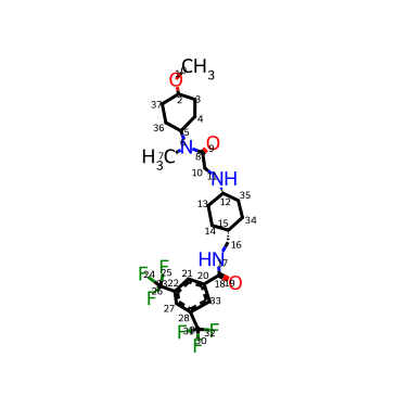 COC1CCC(N(C)C(=O)CN[C@H]2CC[C@@H](CNC(=O)c3cc(C(F)(F)F)cc(C(F)(F)F)c3)CC2)CC1